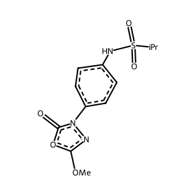 COc1nn(-c2ccc(NS(=O)(=O)C(C)C)cc2)c(=O)o1